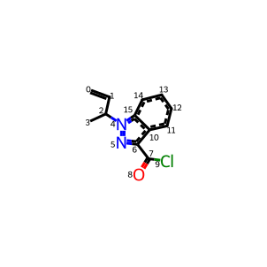 C=CC(C)n1nc(C(=O)Cl)c2ccccc21